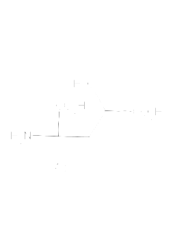 CC(=O)[C@@](N)(CC(C)C(=O)O)C(=O)O